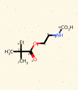 CCC(C)(C)C(=O)OCCNC(=O)O